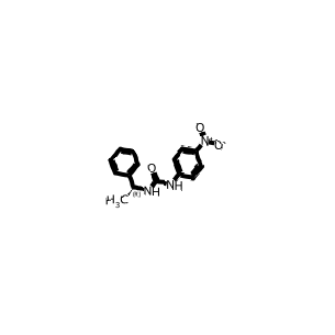 C[C@@H](NC(=O)Nc1ccc([N+](=O)[O-])cc1)c1ccccc1